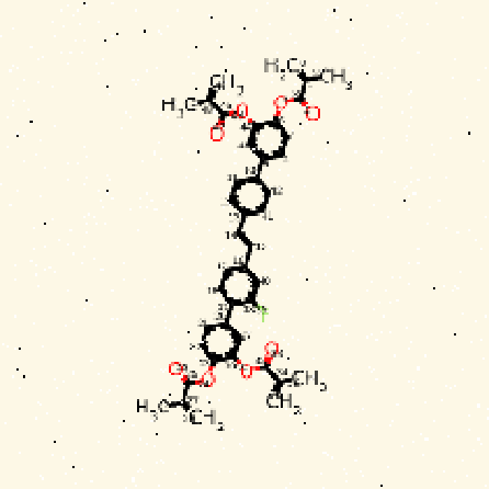 C=C(C)C(=O)Oc1ccc(-c2ccc(/C=C/c3ccc(-c4ccc(OC(=O)C(=C)C)c(OC(=O)C(=C)C)c4)c(F)c3)cc2)cc1OC(=O)C(=C)C